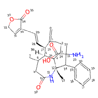 C=C1CCC2[C@@H](C(C)CC(=O)N[C@@]2(C)C(c2ccccc2)C(C)(N)C(=O)O)[C@H]1/C=C/C1=CCOC1=O